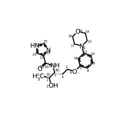 C[C@H](O)[C@@H](CCOc1cccc(N2CCOCC2)c1)NC(=O)c1c[nH]cn1